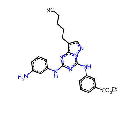 CCOC(=O)c1cccc(Nc2nc(Nc3cccc(N)c3)nc3c(CCCCC#N)cnn23)c1